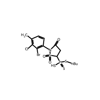 CCCCSP(=S)(S)C1CC(=O)N(c2ccc(C)c(Cl)c2Br)S1(=O)=O